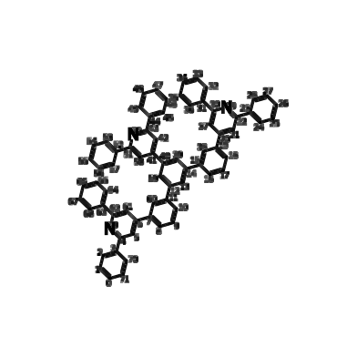 c1ccc(-c2cc(-c3cccc(-c4cc(-c5cccc(-c6cc(-c7ccccc7)nc(-c7ccccc7)c6)c5)cc(-c5cc(-c6ccccc6)nc(-c6ccccc6)c5)c4)c3)cc(-c3ccccc3)n2)cc1